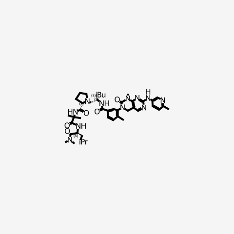 CC[C@H](C)[C@@H](CN1CCC[C@H]1C(=O)NC(C)(C)C(=O)N[C@@H](CC(C)C)C(=O)N(C)C)NC(=O)c1ccc(C)c(N2Cc3cnc(Nc4ccc(C)nc4)nc3N(C)C2=O)c1